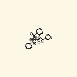 NC(=O)c1ccccc1-c1c(-c2ccsc2)noc1NS(=O)(=O)c1ccccc1